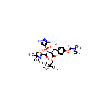 Cc1n[nH]cc1S(=O)(=O)N(C(=O)[C@H]1NC(C)(C)CS1)[C@@H](Cc1ccc(OC(=O)N(C)C)cc1)C(=O)OCC(C)(C)C